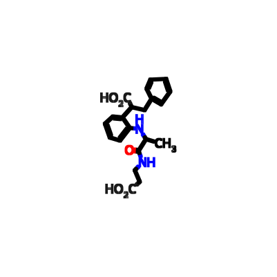 CC(Nc1ccccc1C(Cc1ccccc1)C(=O)O)C(=O)NCCC(=O)O